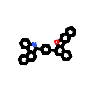 c1ccc2cc3c(cc2c1)oc1c(-c2ccc(-c4nc5ccccc5c5c4ccc4ccccc45)cc2)cc2ccccc2c13